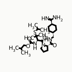 CC(C)COC(=O)N[C@@H](C(=O)N1CCC[C@H]1C(=O)NC[C@H]1CC[C@H](C(=N)N)CC1)C(C)(C)SC(C)C